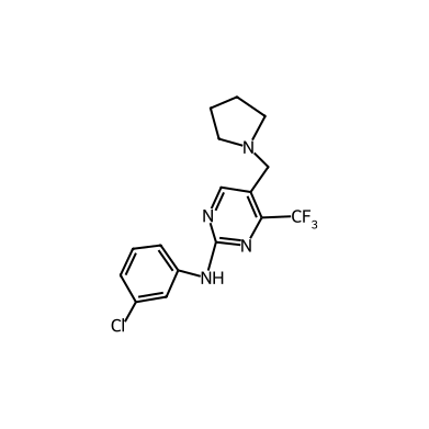 FC(F)(F)c1nc(Nc2cccc(Cl)c2)ncc1CN1CCCC1